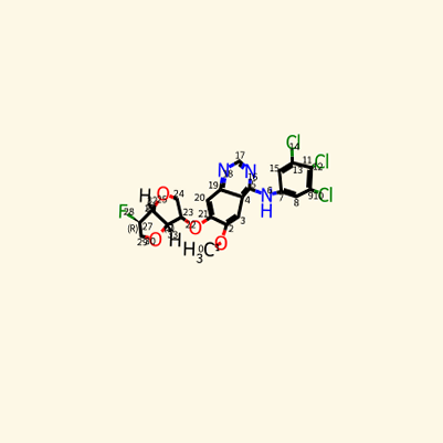 COc1cc2c(Nc3cc(Cl)c(Cl)c(Cl)c3)ncnc2cc1OC1CO[C@H]2[C@H](F)CO[C@@H]12